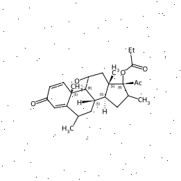 CCC(=O)O[C@]1(C(C)=O)C(C)C[C@H]2[C@@H]3CC(C)C4=CC(=O)C=C[C@]4(C)[C@]34OC4C[C@@]21C